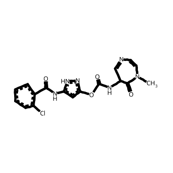 CN1C=CN=CC(NC(=O)Oc2cc(NC(=O)c3ccccc3Cl)[nH]n2)C1=O